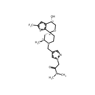 C[C@H]1C[C@@]2(CCN1Cc1cnn(CC(=O)N(C)C)c1)OC[C@@H](O)c1cc(C(F)(F)F)sc12